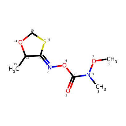 CON(C)C(=O)ON=C1SCOC1C